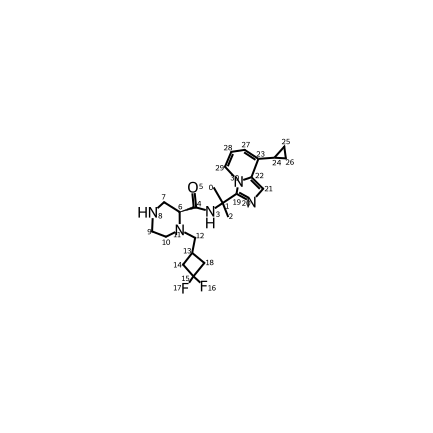 CC(C)(NC(=O)[C@@H]1CNCCN1CC1CC(F)(F)C1)c1ncc2c(C3CC3)cccn12